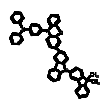 CC1(C)c2ccccc2-c2cc(-n3c4ccccc4c4cc(-c5ccc6c(c5)Oc5ccccc5N6c5ccc(N(c6ccccc6)c6ccccc6)cc5)ccc43)ccc21